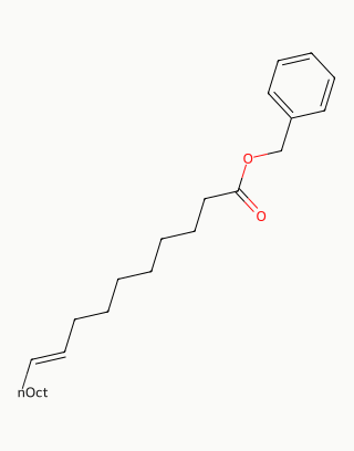 CCCCCCCC/C=C/CCCCCCCC(=O)OCc1ccccc1